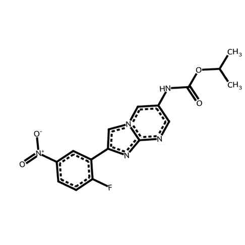 CC(C)OC(=O)Nc1cnc2nc(-c3cc([N+](=O)[O-])ccc3F)cn2c1